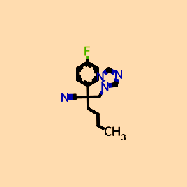 CCCCC(C#N)(Cn1cncn1)c1ccc(F)cc1